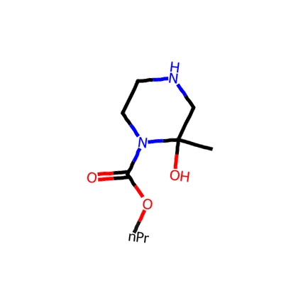 CCCOC(=O)N1CCNCC1(C)O